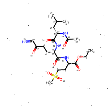 CCOC(=O)C(CCS(C)(=O)=O)NC(=O)[C@H](CCC(=O)C=N)NC(=O)[C@H](CC(C)C)NC(C)=O